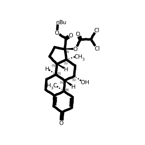 CCCCOC(=O)[C@@]1(OC(=O)C(Cl)Cl)CC[C@H]2[C@@H]3CCC4=CC(=O)C=C[C@]4(C)[C@H]3[C@@H](O)C[C@@]21C